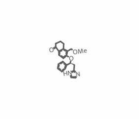 COCc1c(O[C@@H](Cc2ncc[nH]2)c2ccccc2)ccc2c1CCCC2=O